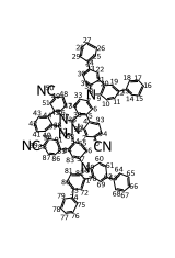 N#Cc1ccc(-c2cc(-n3c4ccc(-c5ccccc5)cc4c4cc(-c5ccccc5)ccc43)ccc2-c2nc(-c3ccccc3-c3cccc(C#N)c3)nc(-c3ccc(-n4c5ccc(-c6ccccc6)cc5c5cc(-c6ccccc6)ccc54)cc3-c3ccc(C#N)cc3)n2)cc1